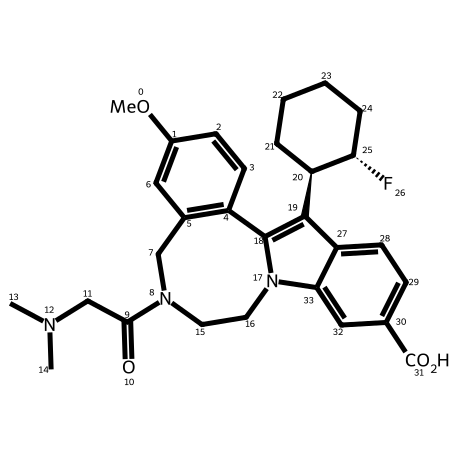 COc1ccc2c(c1)CN(C(=O)CN(C)C)CCn1c-2c([C@H]2CCCC[C@@H]2F)c2ccc(C(=O)O)cc21